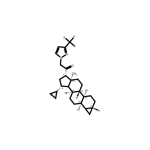 C[C@]12CC[C@@H]3[C@H]4CC[C@@H]5CC5[C@H]4CC[C@H]3C1[C@H](C1CC1)C[C@@H]2C(=O)Cn1ccc(C(F)(F)F)n1